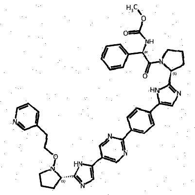 COC(=O)N[C@@H](C(=O)N1CCC[C@H]1c1ncc(-c2ccc(-c3ncc(-c4cnc([C@@H]5CCCN5OCCc5cccnc5)[nH]4)cn3)cc2)[nH]1)c1ccccc1